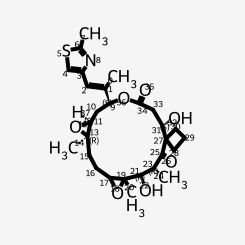 CC(=Cc1csc(C)n1)[C@@H]1C[C@@H]2O[C@]2(C)CCC2OC2(C)[C@H](O)[C@@H](C)C(=O)C2(CCC2)[C@@H](O)CC(=O)O1